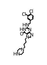 O=c1[nH]c(NCc2ccc(Cl)c(Cl)c2)nc2ncn(CCCCN3CCNCC3)c12